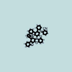 N#Cc1ccccc1-n1c2ccccc2c2c3c(oc4ccccc43)c3c(c21)Oc1cccc2c1B3c1c(c3oc4ccccc4c3c3c1oc1ccccc13)O2